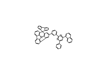 c1ccc(-c2cc(-c3cccc4ccccc34)nc(-c3cccc(-c4cc5c6c(c4)c4cccc7c8cccc(c8n6c74)C54c5ccccc5-c5ccccc54)c3)n2)cc1